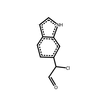 O=CC(Cl)c1ccc2[c]c[nH]c2c1